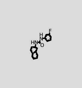 O=C(Nc1cccc(F)c1)Nc1ccc2ccccc2c1